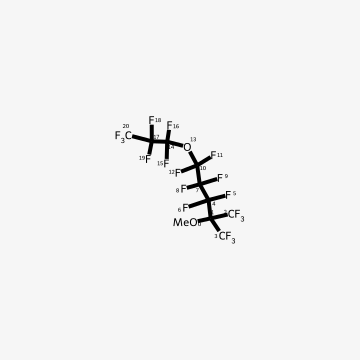 COC(C(F)(F)F)(C(F)(F)F)C(F)(F)C(F)(F)C(F)(F)OC(F)(F)C(F)(F)C(F)(F)F